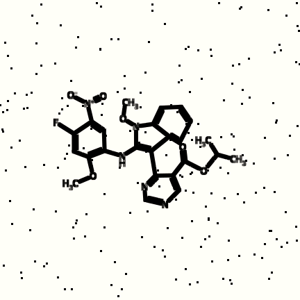 COc1cc(F)c([N+](=O)[O-])cc1Nc1c(-c2ncncc2C(=O)OC(C)C)c2ccccc2n1OC